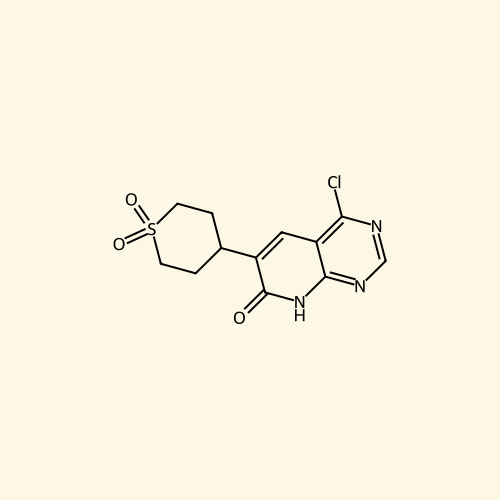 O=c1[nH]c2ncnc(Cl)c2cc1C1CCS(=O)(=O)CC1